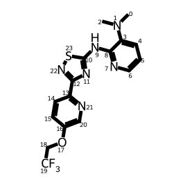 CN(C)c1cccnc1Nc1nc(-c2ccc(OCC(F)(F)F)cn2)ns1